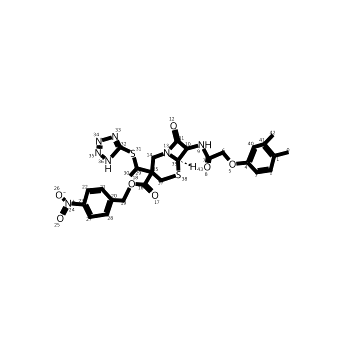 Cc1ccc(OCC(=O)NC2C(=O)N3CC(C(=O)OCc4ccc([N+](=O)[O-])cc4)(C(C)Sc4nnn[nH]4)CS[C@H]23)cc1C